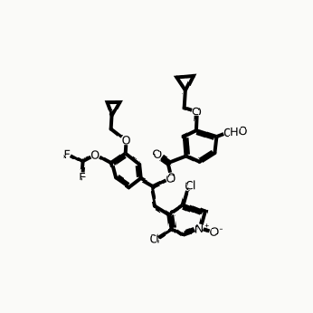 O=Cc1ccc(C(=O)OC(Cc2c(Cl)c[n+]([O-])cc2Cl)c2ccc(OC(F)F)c(OCC3CC3)c2)cc1OCC1CC1